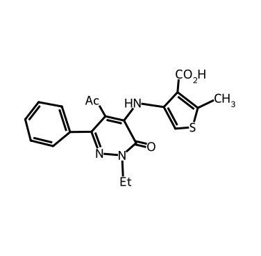 CCn1nc(-c2ccccc2)c(C(C)=O)c(Nc2csc(C)c2C(=O)O)c1=O